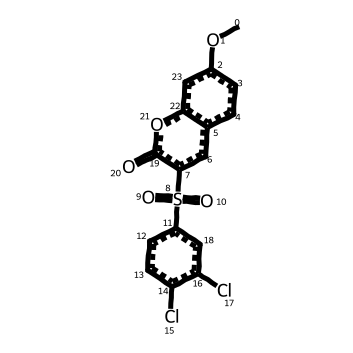 COc1ccc2cc(S(=O)(=O)c3ccc(Cl)c(Cl)c3)c(=O)oc2c1